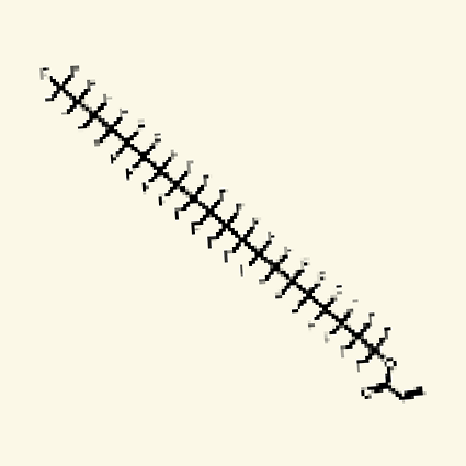 C=CC(=O)OC(F)(F)C(F)(F)C(F)(F)C(F)(F)C(F)(F)C(F)(F)C(F)(F)C(F)(F)C(F)(F)C(F)(F)C(F)(F)C(F)(F)C(F)(F)C(F)(F)C(F)(F)C(F)(F)C(F)(F)C(F)(F)C(F)(F)C(F)(F)F